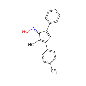 N#CC1=C(c2ccc(C(F)(F)F)cc2)C=C(c2ccccc2)/C1=N/O